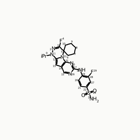 CC(C)N1N=C(F)C2(CCCCC2)n2c1cc1cnc(Nc3ccc(S(N)(=O)=O)cc3F)nc12